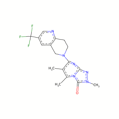 Cc1c(N2CCc3ncc(C(F)(F)F)cc3C2)nc2nn(C)c(=O)n2c1C